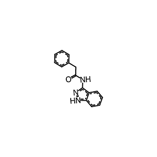 O=C(Cc1ccccc1)Nc1n[nH]c2ccccc12